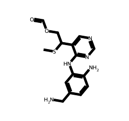 CSC(COC=O)c1cncnc1Nc1cc(CN)ccc1N